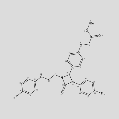 CC(C)(C)OC(=O)COc1ccc(C2C(CCOc3ccc(F)cc3)C(=O)N2c2ccc(F)cc2)cc1